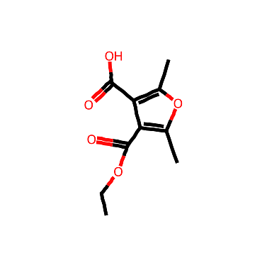 CCOC(=O)c1c(C)oc(C)c1C(=O)O